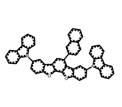 c1ccc2cc(-c3cc4c5cc(-n6c7ccccc7c7ccccc76)ccc5oc4c4oc5ccc(-n6c7ccccc7c7ccccc76)cc5c34)ccc2c1